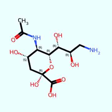 CC(=O)N[C@H]1[C@H]([C@H](O)[C@H](O)CN)O[C@@](O)(C(=O)O)C[C@@H]1O